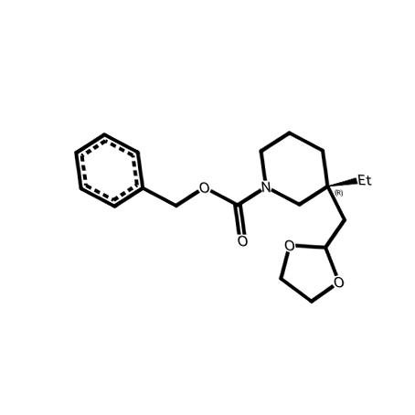 CC[C@]1(CC2OCCO2)CCCN(C(=O)OCc2ccccc2)C1